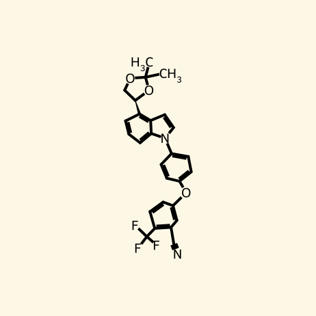 CC1(C)OC[C@H](c2cccc3c2ccn3-c2ccc(Oc3ccc(C(F)(F)F)c(C#N)c3)cc2)O1